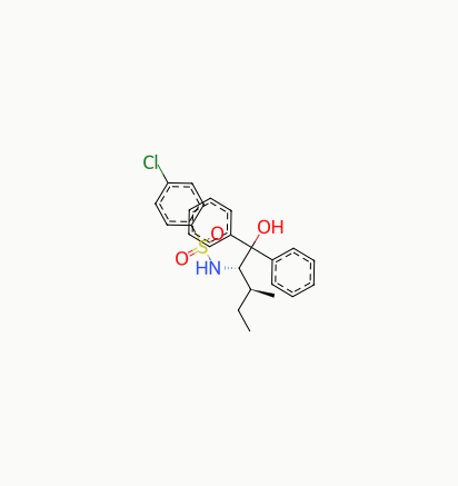 CC[C@H](C)[C@H](NS(=O)(=O)c1ccc(Cl)cc1)C(O)(c1ccccc1)c1ccccc1